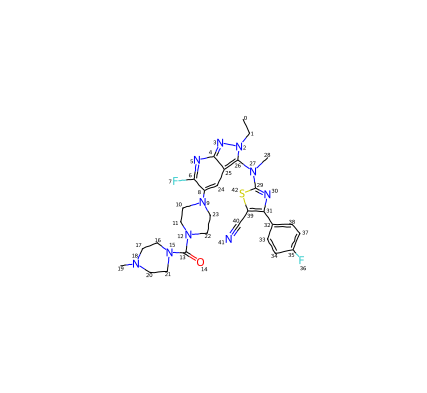 CCn1nc2nc(F)c(N3CCN(C(=O)N4CCN(C)CC4)CC3)cc2c1N(C)c1nc(-c2ccc(F)cc2)c(C#N)s1